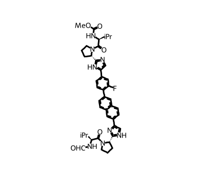 COC(=O)N[C@H](C(=O)N1CCC[C@H]1c1ncc(-c2ccc(-c3ccc4cc(-c5c[nH]c([C@@H]6CCCN6C(=O)[C@@H](NC=O)C(C)C)n5)ccc4c3)c(F)c2)[nH]1)C(C)C